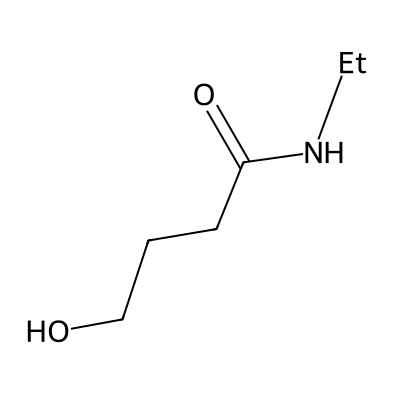 CCNC(=O)CCCO